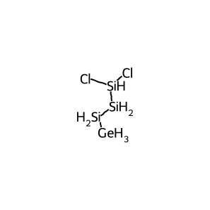 Cl[SiH](Cl)[SiH2][SiH2][GeH3]